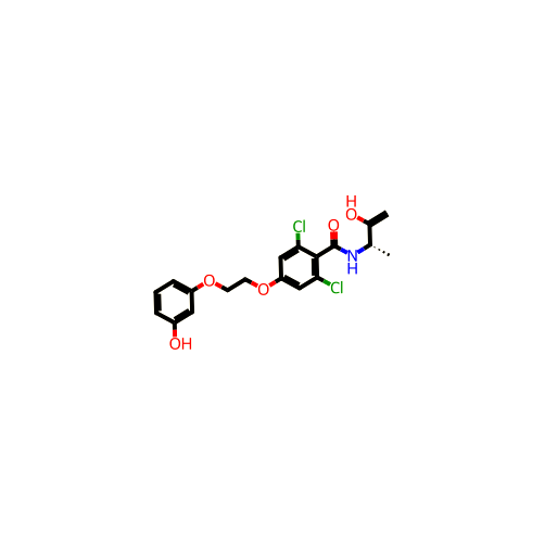 C=C(O)[C@H](C)NC(=O)c1c(Cl)cc(OCCOc2cccc(O)c2)cc1Cl